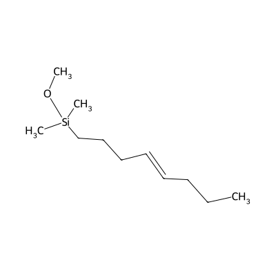 CCCC=CCCC[Si](C)(C)OC